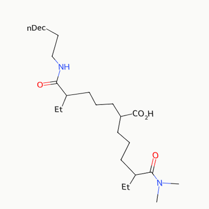 CCCCCCCCCCCCNC(=O)C(CC)CCCC(CCCC(CC)C(=O)N(C)C)C(=O)O